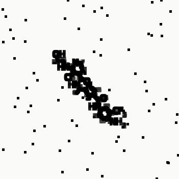 CC(NC(=O)c1ncnc(NCCO)c1Cl)c1ncc(C(=O)Nc2ccc(N)c(C(F)(F)F)c2)s1